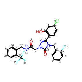 O=C(Cn1nc(-c2ccc(Cl)cc2O)n(Cc2ccccc2F)c1=O)NCc1ccccc1C(F)(F)F